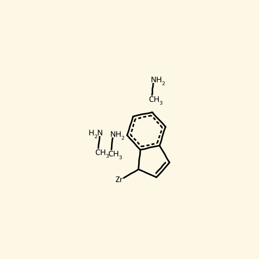 CN.CN.CN.[Zr][CH]1C=Cc2ccccc21